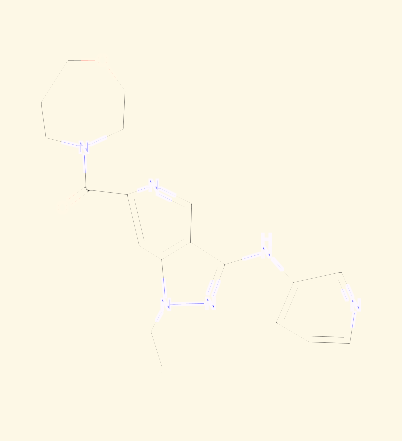 O=C(c1cc2c(cn1)c(Nc1cccnc1)nn2CC(F)(F)F)N1CCCOCC1